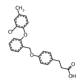 Cc1ccc(Oc2ccccc2COc2ccc(CCC(=O)O)cc2)c(Cl)c1